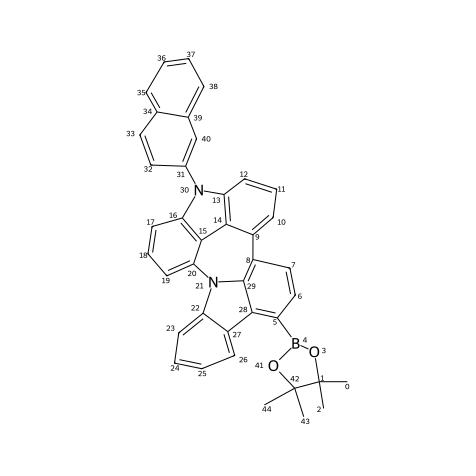 CC1(C)OB(c2ccc3c4cccc5c4c4c(cccc4n4c6ccccc6c2c34)n5-c2ccc3ccccc3c2)OC1(C)C